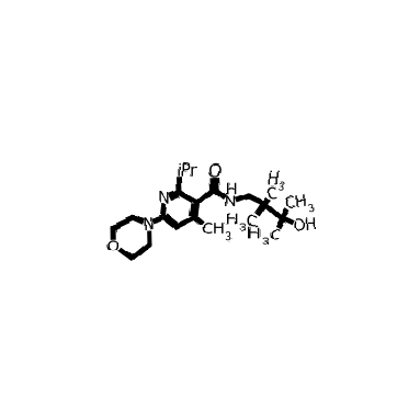 Cc1cc(N2CCOCC2)nc(C(C)C)c1C(=O)NCC(C)(C)C(C)(C)O